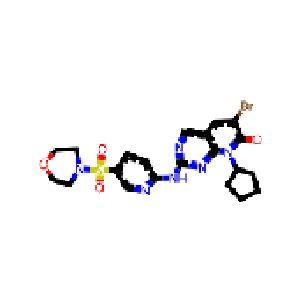 O=c1c(Br)cc2cnc(Nc3ccc(S(=O)(=O)N4CCOCC4)cn3)nc2n1C1CCCC1